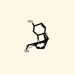 CN1CC[C@@]23C=CC(O)CC2Oc2c(CO)ccc(c23)C1